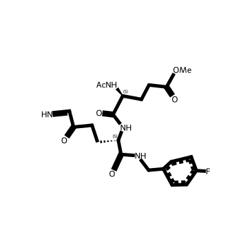 COC(=O)CC[C@H](NC(C)=O)C(=O)N[C@@H](CCC(=O)C=N)C(=O)NCc1ccc(F)cc1